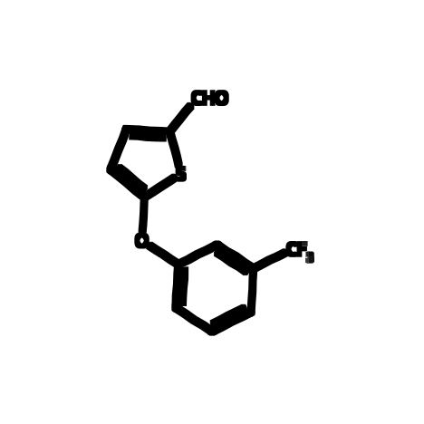 O=Cc1ccc(Oc2cccc(C(F)(F)F)c2)s1